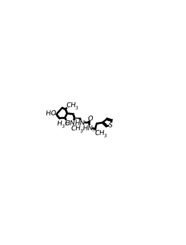 CN[C@H](CNC(=O)N[C@@H](C)Cc1ccsc1)CC1C(C)CC(O)CC1C